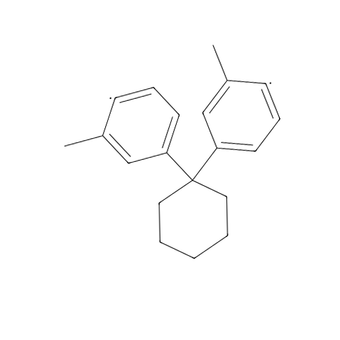 Cc1[c]ccc(C2(c3cc[c]c(C)c3)CCCCC2)c1